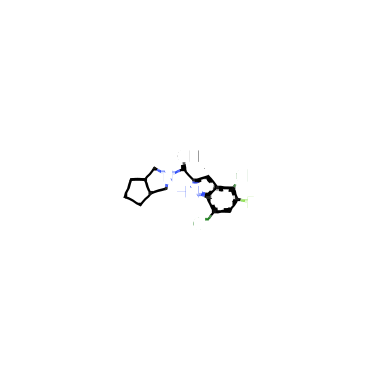 C=C(c1cc2c(Cl)c(F)cc(Cl)c2[nH]1)N1CC2CCCC2C1